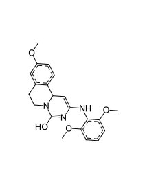 COc1ccc2c(c1)CCN1C(O)=NC(Nc3c(OC)cccc3OC)=CC21